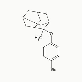 CCC(C)c1ccc(OC2(C)C3CC4CC(C3)CC2C4)cc1